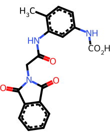 Cc1ccc(NC(=O)O)cc1NC(=O)CN1C(=O)c2ccccc2C1=O